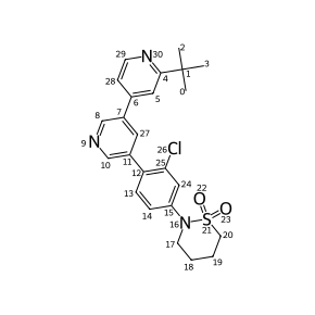 CC(C)(C)c1cc(-c2cncc(-c3ccc(N4CCCCS4(=O)=O)cc3Cl)c2)ccn1